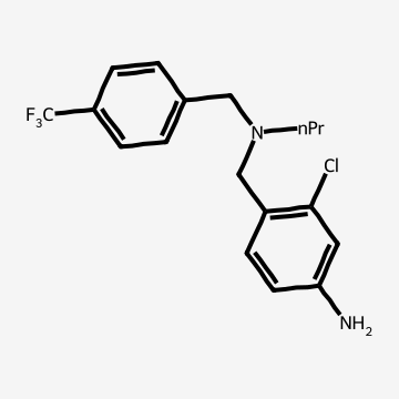 CCCN(Cc1ccc(C(F)(F)F)cc1)Cc1ccc(N)cc1Cl